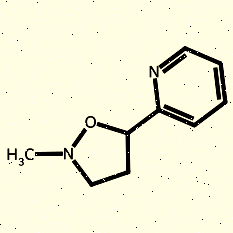 CN1CCC(c2ccccn2)O1